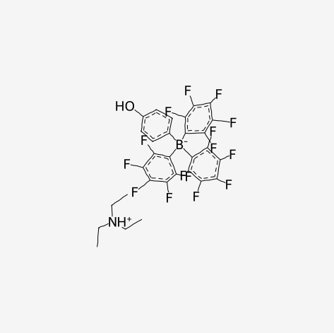 CC[NH+](CC)CC.Oc1ccc([B-](c2c(F)c(F)c(F)c(F)c2F)(c2c(F)c(F)c(F)c(F)c2F)c2c(F)c(F)c(F)c(F)c2F)cc1